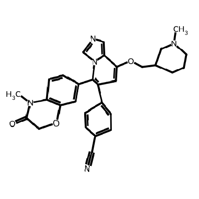 CN1CCCC(COc2cc(-c3ccc(C#N)cc3)c(-c3ccc4c(c3)OCC(=O)N4C)n3cncc23)C1